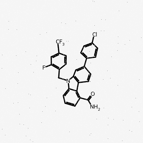 NC(=O)c1cccc2c1c1[c]cc(-c3ccc(Cl)cc3)cc1n2Cc1ccc(C(F)(F)F)cc1F